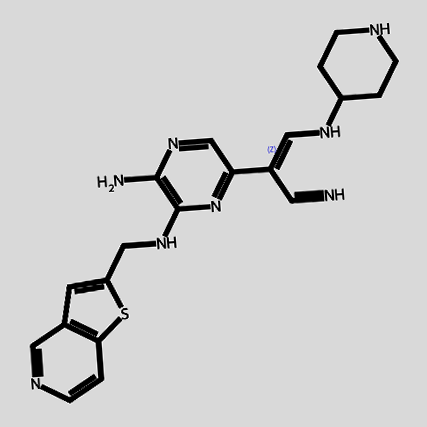 N=C/C(=C\NC1CCNCC1)c1cnc(N)c(NCc2cc3cnccc3s2)n1